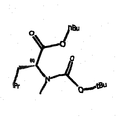 CCCCOC(=O)[C@@H](CC(C)C)N(C)C(=O)OC(C)(C)C